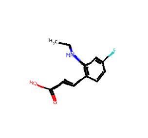 CCNc1cc(F)ccc1/C=C/C(=O)O